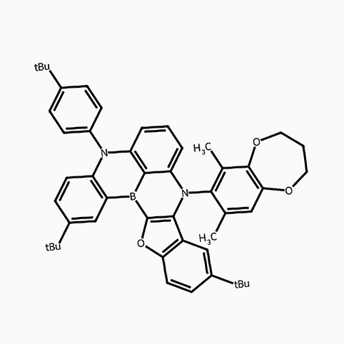 Cc1cc2c(c(C)c1N1c3cccc4c3B(c3cc(C(C)(C)C)ccc3N4c3ccc(C(C)(C)C)cc3)c3oc4ccc(C(C)(C)C)cc4c31)OCCCO2